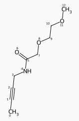 CC#CCNC(=O)COCCOC